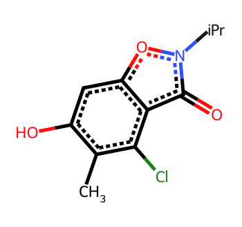 Cc1c(O)cc2on(C(C)C)c(=O)c2c1Cl